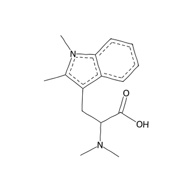 Cc1c(CC(C(=O)O)N(C)C)c2ccccc2n1C